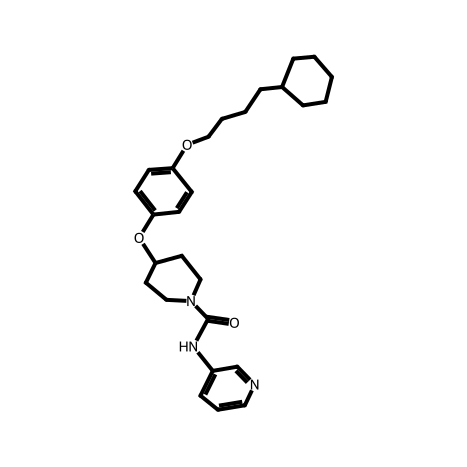 O=C(Nc1cccnc1)N1CCC(Oc2ccc(OCCCCC3CCCCC3)cc2)CC1